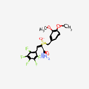 COc1ccc(C[S+]([O-])/C(=C/c2c(F)c(F)c(F)c(F)c2F)C(N)=O)cc1OC